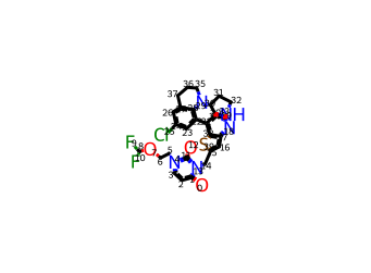 O=c1ccn(CCOC(F)F)c(=O)n1Cc1cc2nccc(-c3cc(Cl)cc4c3N(C3CCNC3)CCC4)c2s1